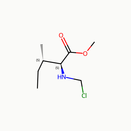 CC[C@H](C)[C@H](NCCl)C(=O)OC